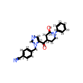 N#Cc1ccc(Cn2cncc2C(=O)C2CCN(c3ccccc3)C(=O)C2)cc1